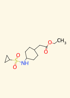 CCOC(=O)CC1CCC(NS(=O)(=O)C2CC2)CC1